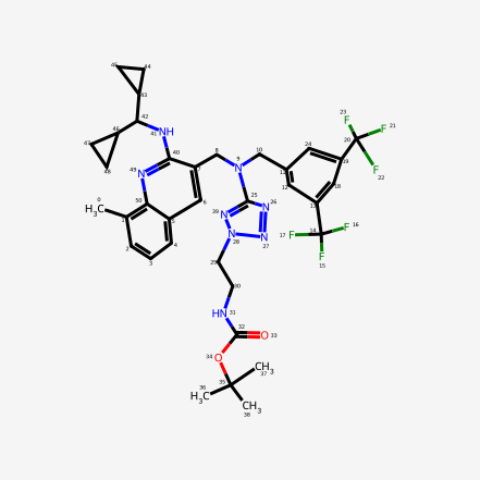 Cc1cccc2cc(CN(Cc3cc(C(F)(F)F)cc(C(F)(F)F)c3)c3nnn(CCNC(=O)OC(C)(C)C)n3)c(NC(C3CC3)C3CC3)nc12